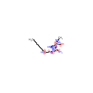 CCCCCCCCCCCCCCCC(=O)NS(=O)(=O)CCCC(=O)NCC(=O)N[C@@H](CO)C(=O)N[C@@H](CCC(N)=O)C(=O)N[C@@H](Cc1c[nH]cn1)C(=O)N[C@@H](CCC(=O)O)C(=O)N[C@@H](CCCC)C(N)=O